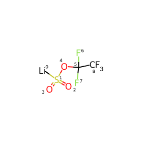 [Li][S](=O)(=O)OC(F)(F)C(F)(F)F